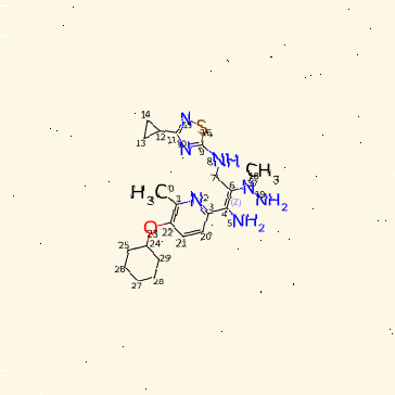 Cc1nc(/C(N)=C(\CNc2nc(C3CC3)ns2)N(C)N)ccc1OC1CCCCC1